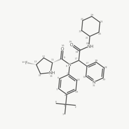 CC(C)(C)c1ccc(N(C(=O)[C@H]2C[C@@H](F)CN2)C(C(=O)NC2CCCCC2)c2cccnc2)cc1